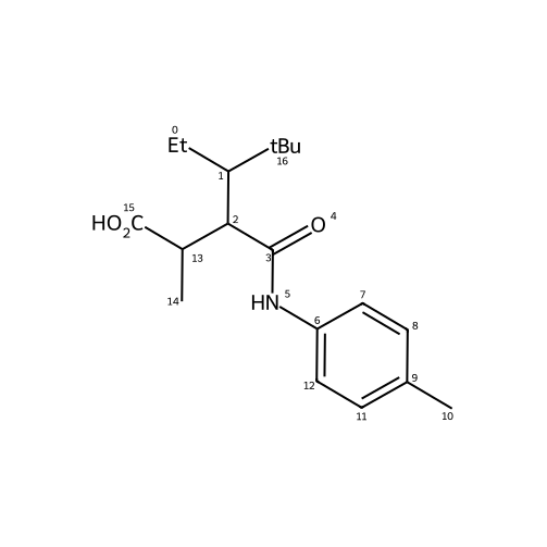 CCC(C(C(=O)Nc1ccc(C)cc1)C(C)C(=O)O)C(C)(C)C